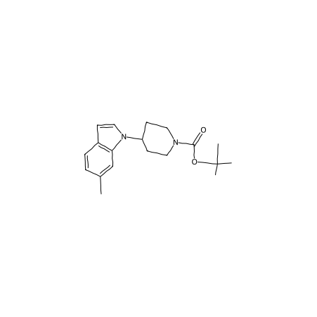 Cc1ccc2ccn(C3CCN(C(=O)OC(C)(C)C)CC3)c2c1